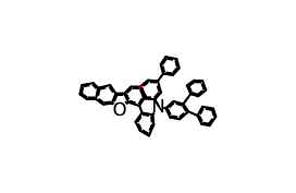 c1ccc(-c2cccc(N(c3ccc(-c4ccccc4)c(-c4ccccc4)c3)c3ccccc3-c3cccc4c3oc3cc5ccccc5cc34)c2)cc1